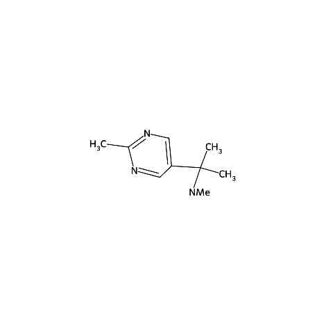 CNC(C)(C)c1cnc(C)nc1